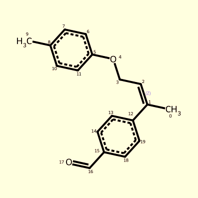 C/C(=C/COc1ccc(C)cc1)c1ccc(C=O)cc1